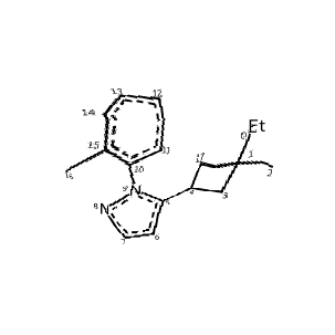 CCC1(C)CC(c2ccnn2-c2ccccc2C)C1